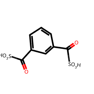 O=C(c1cccc(C(=O)S(=O)(=O)O)c1)S(=O)(=O)O